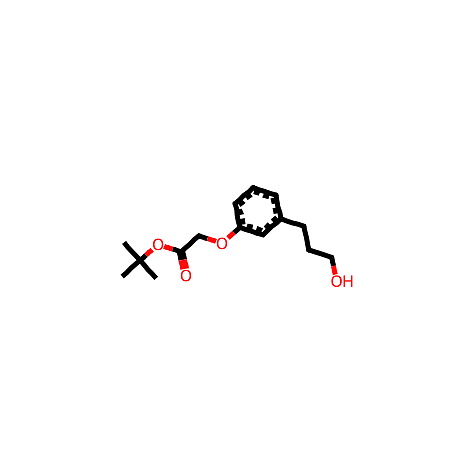 CC(C)(C)OC(=O)COc1cccc(CCCO)c1